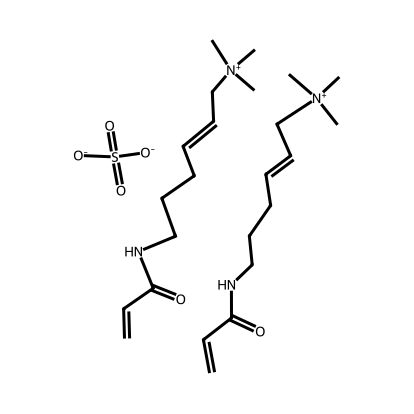 C=CC(=O)NCCCC=CC[N+](C)(C)C.C=CC(=O)NCCCC=CC[N+](C)(C)C.O=S(=O)([O-])[O-]